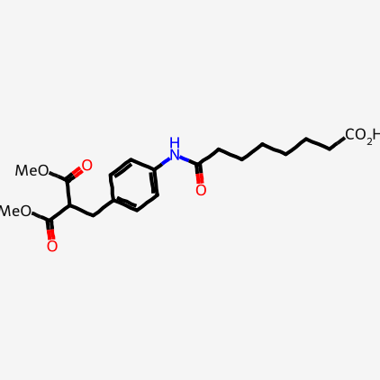 COC(=O)C(Cc1ccc(NC(=O)CCCCCCC(=O)O)cc1)C(=O)OC